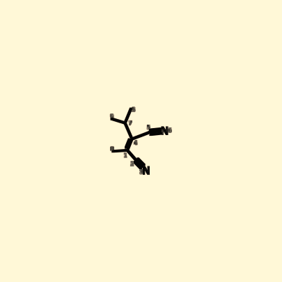 C/C(C#N)=C(/C#N)C(C)C